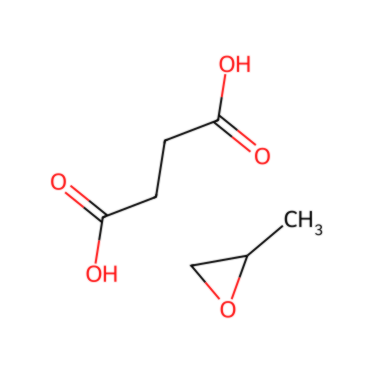 CC1CO1.O=C(O)CCC(=O)O